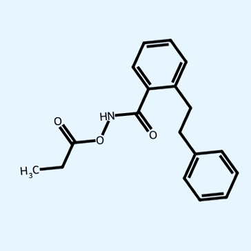 CCC(=O)ONC(=O)c1ccccc1CCc1ccccc1